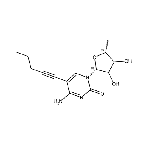 CCCC#Cc1cn([C@@H]2O[C@H](C)C(O)C2O)c(=O)nc1N